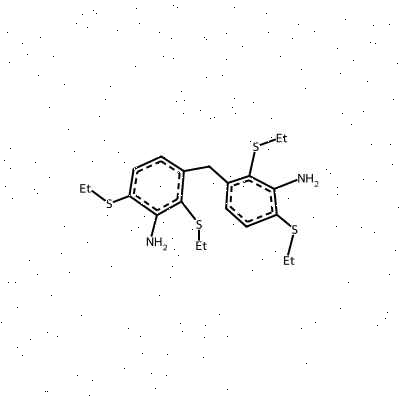 CCSc1ccc(Cc2ccc(SCC)c(N)c2SCC)c(SCC)c1N